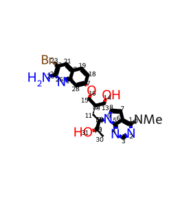 CNc1ncnc2c1ccn2[C@H](C[C@@H](CO)COc1ccc2cc(Br)c(N)nc2c1)[C@@H](C)O